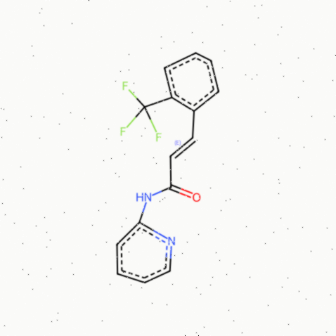 O=C(/C=C/c1ccccc1C(F)(F)F)Nc1ccccn1